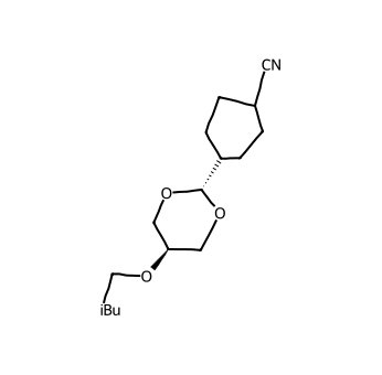 CCC(C)CO[C@H]1CO[C@H](C2CCC(C#N)CC2)OC1